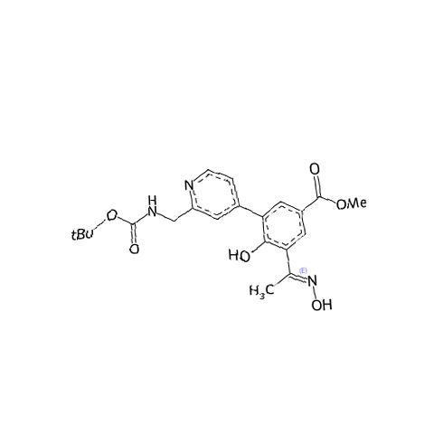 COC(=O)c1cc(/C(C)=N/O)c(O)c(-c2ccnc(CNC(=O)OC(C)(C)C)c2)c1